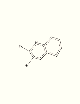 [2H]c1cc2ccccc2nc1CC